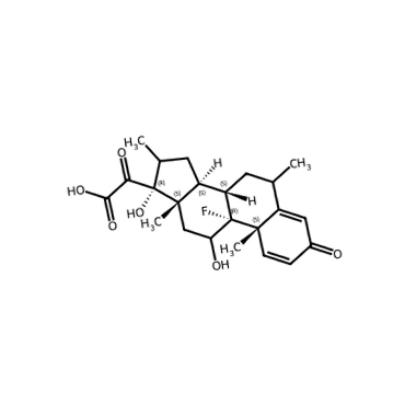 CC1C[C@H]2[C@@H]3CC(C)[C@](O)(C(=O)C(=O)O)[C@@]3(C)CC(O)[C@]2(F)[C@@]2(C)C=CC(=O)C=C12